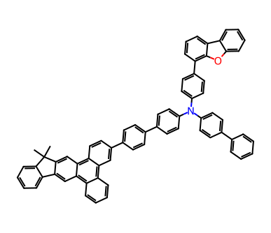 CC1(C)c2ccccc2-c2cc3c4ccccc4c4cc(-c5ccc(-c6ccc(N(c7ccc(-c8ccccc8)cc7)c7ccc(-c8cccc9c8oc8ccccc89)cc7)cc6)cc5)ccc4c3cc21